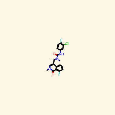 C[C@@H](c1cn(C)c(=O)c2c(F)cccc12)N(C)C(=O)Nc1ccc(F)c(Cl)c1